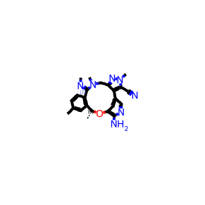 C/N=C1/c2ccc(C)cc2[C@@H](C)Oc2cc(cnc2N)-c2c(nn(C)c2C#N)CN1C